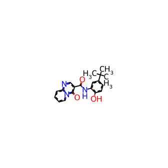 CC(C)(C)c1ccc(O)c(NC(=O)c2cnc3ccccn3c2=O)c1